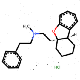 CN(CCc1ccccc1)CC[C@@]12CCCC[C@@H]1c1ccccc1O2.Cl